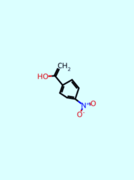 C=C(O)c1ccc([N+](=O)[O-])cc1